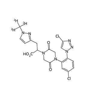 [2H]C([2H])([2H])n1ccc(CC(C(=O)O)N2CC(=O)N(c3cc(Cl)ccc3-n3cc(Cl)nn3)CC2=O)n1